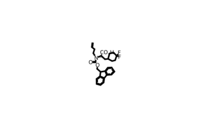 C=CCCN(C(=O)OCC1c2ccccc2-c2ccccc21)[C@@H](CC1CCC(F)(F)CC1)C(=O)O